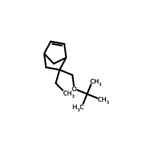 CCC1(COC(C)(C)C)CC2C=CC1C2